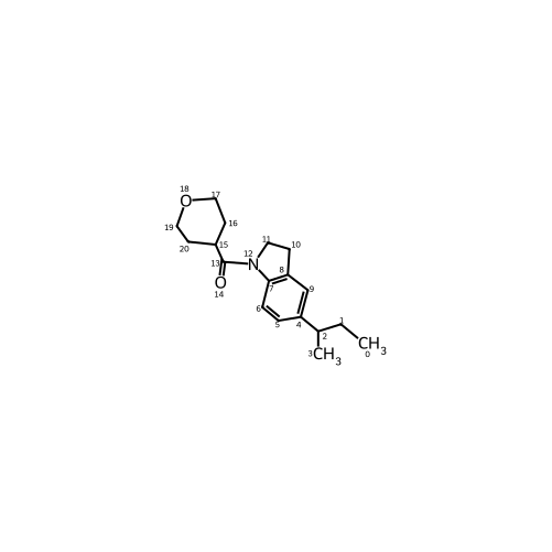 CCC(C)c1ccc2c(c1)CCN2C(=O)C1CCOCC1